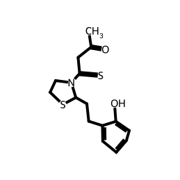 CC(=O)CC(=S)N1CCSC1CCc1ccccc1O